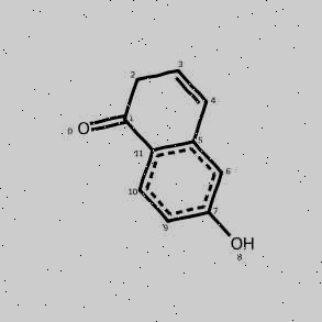 O=C1CC=Cc2cc(O)ccc21